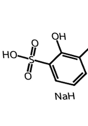 Cc1cccc(S(=O)(=O)O)c1O.[NaH]